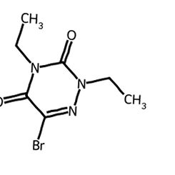 CCn1nc(Br)c(=O)n(CC)c1=O